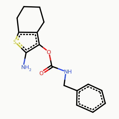 Nc1sc2c(c1OC(=O)NCc1ccccc1)CCCC2